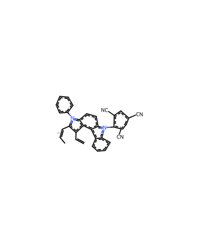 C=Cc1c(/C=C\C)n(-c2ccccc2)c2ccc3c(c4ccccc4n3-c3c(C#N)cc(C#N)cc3C#N)c12